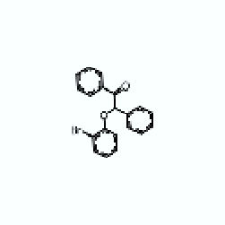 O=C(c1ccccc1)C(Oc1ccccc1Br)c1ccccc1